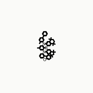 Cc1cc2c3c(c1)N(c1cccc4oc5ccccc5c14)c1cc4c(cc1B3c1cc3c(cc1N2c1cc(-c2ccccc2)ccc1C)C(C)(C)CCC3(C)C)C(C)(C)CC4(C)C